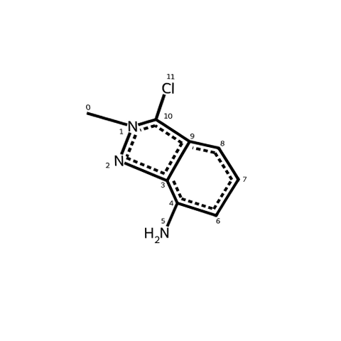 Cn1nc2c(N)cccc2c1Cl